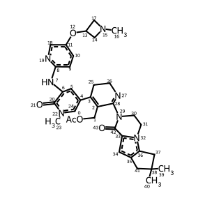 CC(=O)OCC1=C(c2cc(Nc3ccc(OC4CN(C)C4)cn3)c(=O)n(C)c2)CCN=C1N1CCn2c(cc3c2CC(C)(C)C3)C1=O